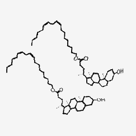 CCCCC/C=C\C/C=C\CCCCCCCCOC(=O)CC[C@@H](C)C1CCC2C3CCC4C[C@H](O)CC[C@]4(C)C3CC[C@@]21C.CCCCC/C=C\C/C=C\CCCCCCCCOC(=O)CC[C@@H](C)C1CCC2C3CCC4C[C@H](O)CC[C@]4(C)C3CC[C@@]21C